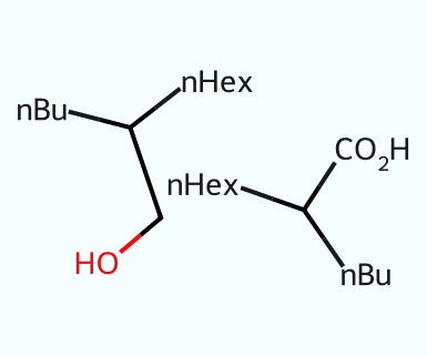 CCCCCCC(CCCC)C(=O)O.CCCCCCC(CO)CCCC